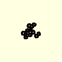 c1ccc(C2(c3ccccc3)c3ccccc3-c3c(N(c4ccc(-c5cccc6ccccc56)cc4)c4cc5ccccc5c5ccccc45)cccc32)cc1